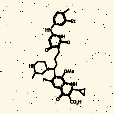 CCc1cc(Nc2cc(=O)n(CCCC(c3c(F)cc4c(=O)c(C(=O)O)c(C5CC5)[nH]c4c3OC)N3CCNC(C)C3)c(=O)[nH]2)ccc1C